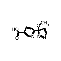 COC1(c2ccc(C(=O)O)cn2)C=CN=N1